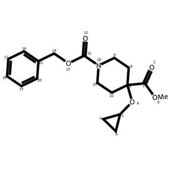 COC(=O)C1(OC2CC2)CCN(C(=O)OCc2ccccc2)CC1